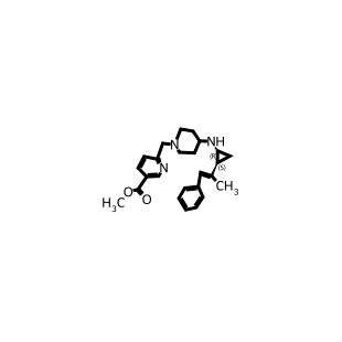 COC(=O)c1ccc(CN2CCC(N[C@@H]3C[C@H]3C(C)=Cc3ccccc3)CC2)nc1